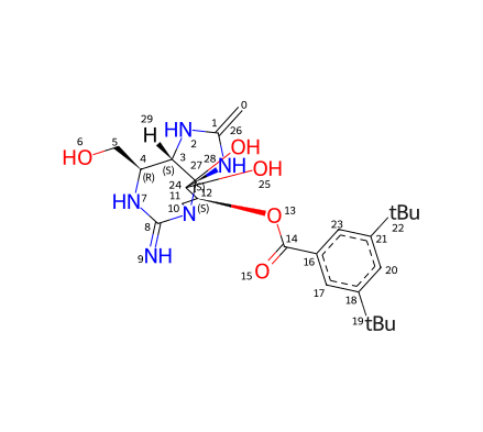 C=C1N[C@H]2[C@H](CO)NC(=N)N3C[C@H](OC(=O)c4cc(C(C)(C)C)cc(C(C)(C)C)c4)C(O)(O)[C@]23N1